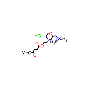 COC(=O)C=CC(=O)OCCN1CCOC(CN(C)C)C1.Cl